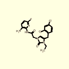 CCn1c(Cc2ccc(Cl)cc2Cl)cn(CC(=O)Nc2nc(F)ccc2N)c1=O